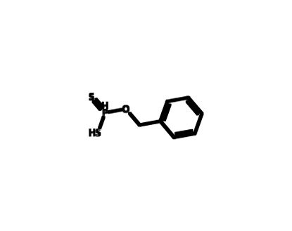 S=[PH](S)OCc1ccccc1